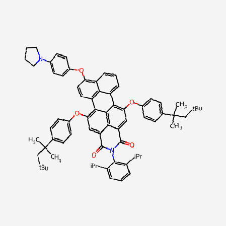 CC(C)c1cccc(C(C)C)c1N1C(=O)c2cc(Oc3ccc(C(C)(C)CC(C)(C)C)cc3)c3c4cccc5c(Oc6ccc(N7CCCC7)cc6)ccc(c6c(Oc7ccc(C(C)(C)CC(C)(C)C)cc7)cc(c2c36)C1=O)c54